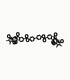 CC1=C(C)C(=O)N(CN2C(=O)c3ccc(C(=O)Oc4ccc(-c5ccc(OC(=O)c6ccc7c(c6)C(=O)N(CN6C(=O)C(C)=C(C)C6=O)C7=O)cc5)cc4)cc3C2=O)C1=O